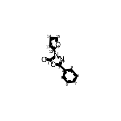 O=c1oc(-c2ccccc2)nn1-c1ccco1